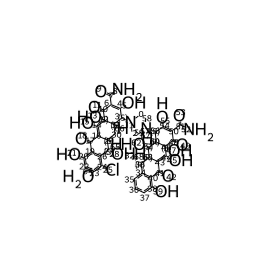 CN(C)[C@@H]1C(O)=C(C(N)=O)C(=O)[C@@]2(O)C(O)=C3C(=O)c4c(O)ccc(Cl)c4[C@@H](O)[C@H]3C[C@@H]12.C[C@H]1c2cccc(O)c2C(=O)C2=C(O)[C@]3(O)C(=O)C(C(N)=O)=C(O)[C@@H](N(C)C)[C@@H]3[C@@H](O)[C@@H]21.O